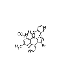 CCc1nn(-c2cnccc2C)c(Nc2ccc(C)cc2C(=O)O)c1-c1ccncc1